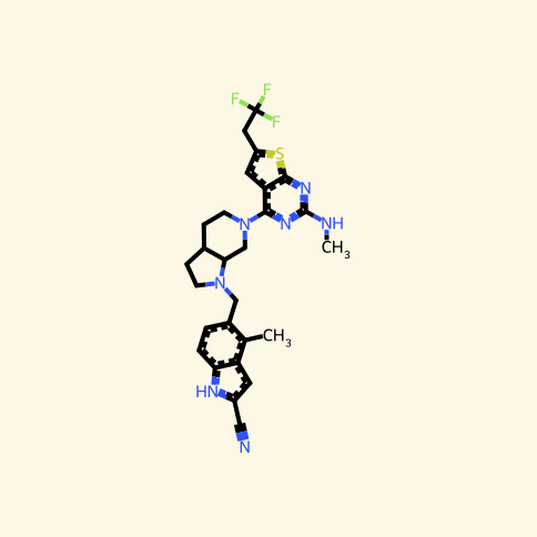 CNc1nc(N2CCC3CCN(Cc4ccc5[nH]c(C#N)cc5c4C)C3C2)c2cc(CC(F)(F)F)sc2n1